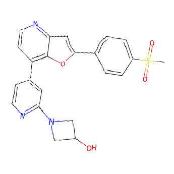 CS(=O)(=O)c1ccc(-c2cc3nccc(-c4ccnc(N5CC(O)C5)c4)c3o2)cc1